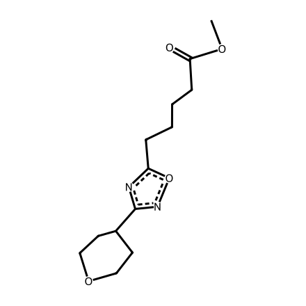 COC(=O)CCCCc1nc(C2CCOCC2)no1